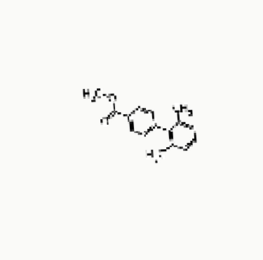 COC(=O)c1ccc(-c2c(C)cccc2C)cc1